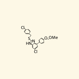 COCOc1ccc(-c2cc(Cl)cc3[nH]c(SCc4ccc(Cl)cc4)nc23)cc1